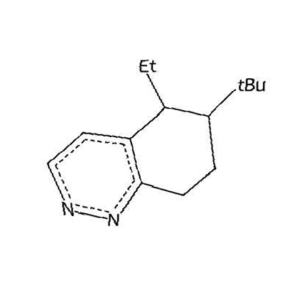 CCC1c2ccnnc2CCC1C(C)(C)C